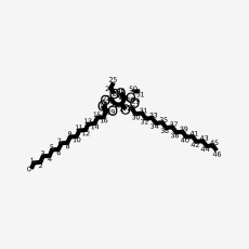 CCCCCCCCCCCCCCCCCC(=O)OC(C(=O)OCC)C(OC(=O)CCCCCCCCCCCCCCCCC)C(=O)OCC